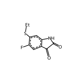 CCSc1cc2c(cc1F)C(=O)C(=O)N2